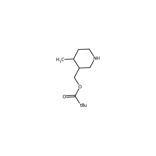 CC1CCNCC1COC(=O)C(C)(C)C